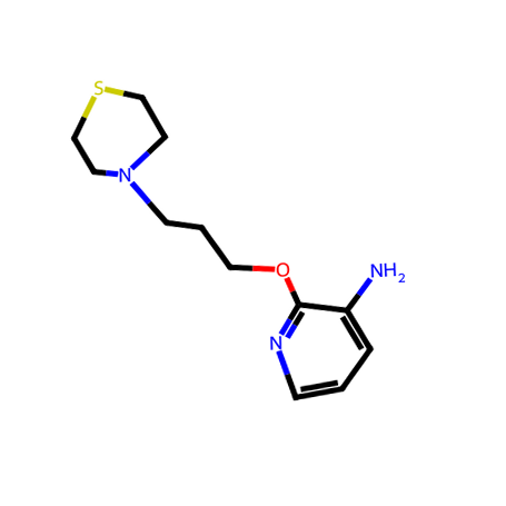 Nc1cccnc1OCCCN1CCSCC1